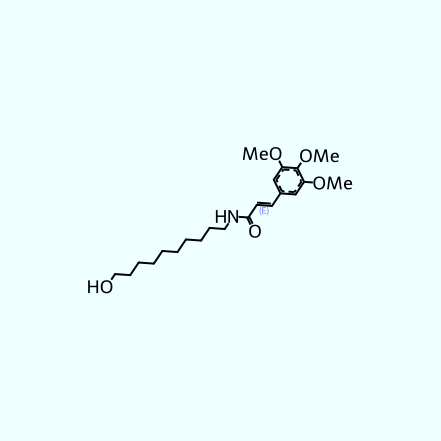 COc1cc(/C=C/C(=O)NCCCCCCCCCCO)cc(OC)c1OC